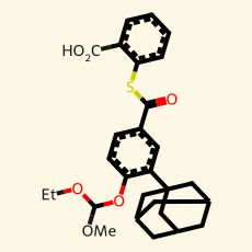 CCOC(OC)Oc1ccc(C(=O)Sc2ccccc2C(=O)O)cc1C12CC3CC(CC(C3)C1)C2